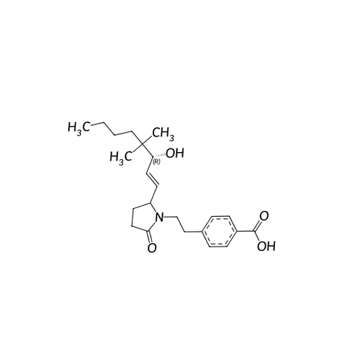 CCCCC(C)(C)[C@H](O)C=CC1CCC(=O)N1CCc1ccc(C(=O)O)cc1